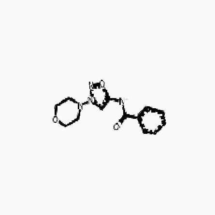 O=C([N-]c1c[n+](N2CCOCC2)no1)c1ccccc1